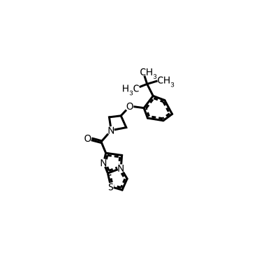 CC(C)(C)c1ccccc1OC1CN(C(=O)c2cn3ccsc3n2)C1